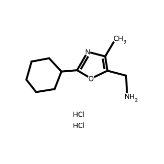 Cc1nc(C2CCCCC2)oc1CN.Cl.Cl